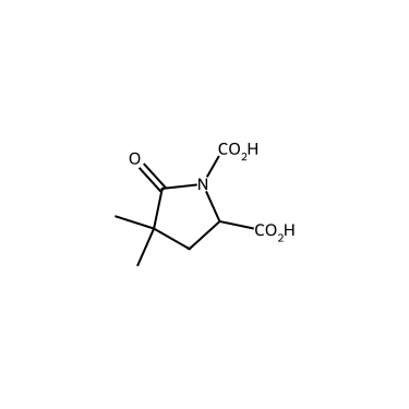 CC1(C)CC(C(=O)O)N(C(=O)O)C1=O